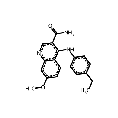 CCc1ccc(Nc2c(C(N)=O)cnc3cc(OC)ccc23)cc1